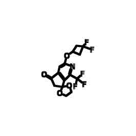 O=C1CC2(OCCO2)c2c1cc(OC1CC(F)(F)C1)nc2C(F)(F)F